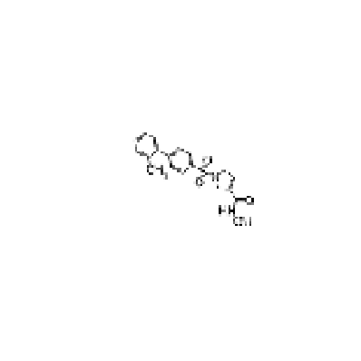 Cc1ccccc1-c1ccc(S(=O)(=O)N2CC=C(C(=O)NO)C2)cc1